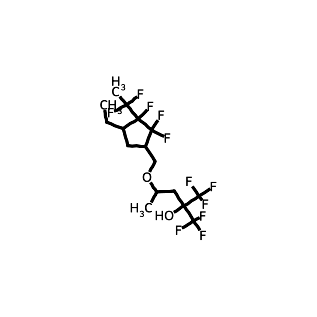 CCC1CC(COC(C)CC(O)(C(F)(F)F)C(F)(F)F)C(F)(F)C1(F)C(C)(F)F